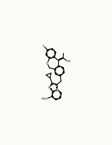 COc1cccn2c(Cc3ccc4c(c3)COc3cc(F)ccc3C4=C(C)C#N)c(C3CC3)nc12